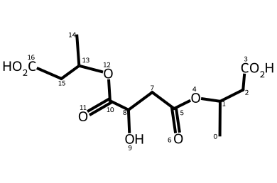 CC(CC(=O)O)OC(=O)CC(O)C(=O)OC(C)CC(=O)O